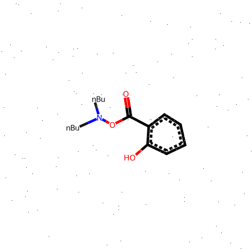 CCCCN(CCCC)OC(=O)c1ccccc1O